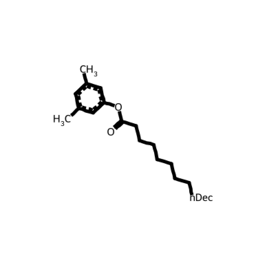 CCCCCCCCCCCCCCCCCC(=O)Oc1cc(C)cc(C)c1